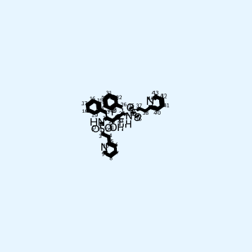 O=S(=O)(CCc1ccccn1)N[C@@H](Cc1ccccc1)[C@@H](O)C(F)(F)[C@H](Cc1ccccc1)NS(=O)(=O)CCc1ccccn1